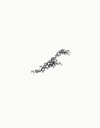 C=C(C)[C@@H]1CC[C@]2(NCCN3CCN(C(=O)OC(C)(C)C)CC3)CC[C@]3(C)[C@H](CCC4[C@@]5(C)CC=C(c6ccc(COOC)cc6)C(C)(C)C5CC[C@]43C)C12